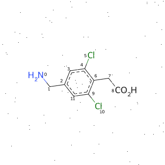 NCc1cc(Cl)c(CC(=O)O)c(Cl)c1